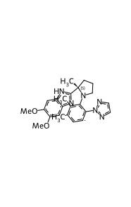 COc1cc2nc([C@]3(C)CCCN3c3c(-n4nccn4)[c]cc(C)c3C)[nH]c2cc1OC